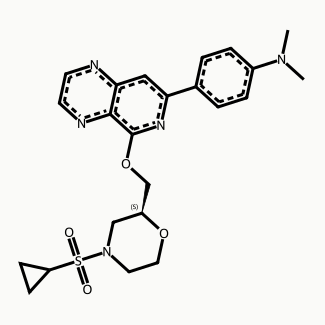 CN(C)c1ccc(-c2cc3nccnc3c(OC[C@@H]3CN(S(=O)(=O)C4CC4)CCO3)n2)cc1